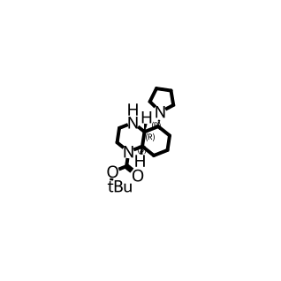 CC(C)(C)OC(=O)N1CCN[C@@H]2[C@H](N3CCCC3)CCC[C@@H]21